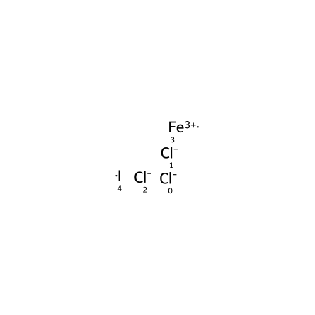 [Cl-].[Cl-].[Cl-].[Fe+3].[I]